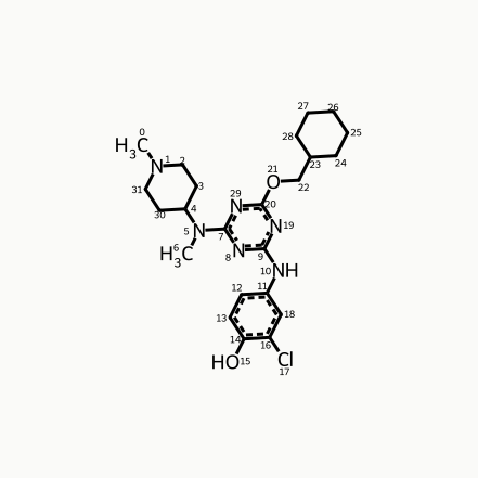 CN1CCC(N(C)c2nc(Nc3ccc(O)c(Cl)c3)nc(OCC3CCCCC3)n2)CC1